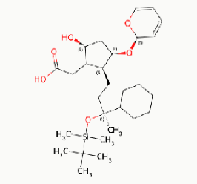 CC(C)(C)[Si](C)(C)O[C@@](C)(CC[C@H]1C(CC(=O)O)[C@@H](O)C[C@H]1O[C@@H]1C=CC=CO1)C1CCCCC1